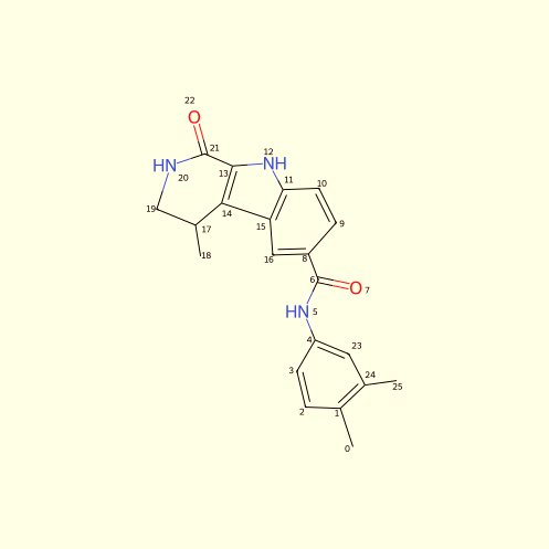 Cc1ccc(NC(=O)c2ccc3[nH]c4c(c3c2)C(C)CNC4=O)cc1C